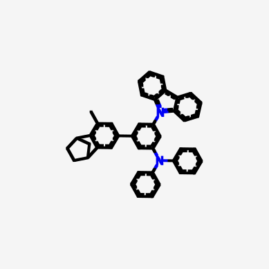 Cc1cc(-c2cc(N(c3ccccc3)c3ccccc3)cc(-n3c4ccccc4c4ccccc43)c2)cc2c1C1CCC2C1